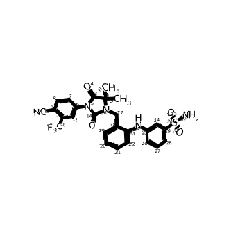 CC1(C)C(=O)N(c2ccc(C#N)c(C(F)(F)F)c2)C(=O)N1Cc1ccccc1Nc1cccc(S(N)(=O)=O)c1